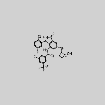 O=C1NC(c2cc(F)ccc2Cl)c2c(NC(O)c3cc(F)cc(C(F)(F)F)c3)cc(NC3CC[C@H]3O)cc21